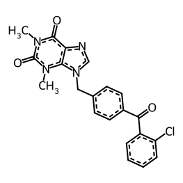 Cn1c(=O)c2ncn(Cc3ccc(C(=O)c4ccccc4Cl)cc3)c2n(C)c1=O